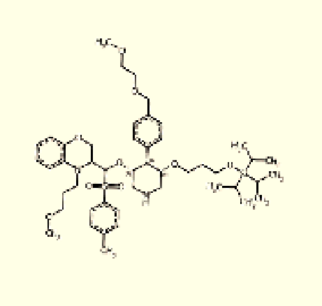 COCCCN1c2ccccc2OCC1C(O[C@H]1CNC[C@@H](OCCCO[Si](C(C)C)(C(C)C)C(C)C)[C@@H]1c1ccc(COCCOC)cc1)S(=O)(=O)c1ccc(C)cc1